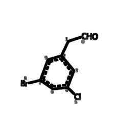 O=CCc1cc(Cl)cc(Br)c1